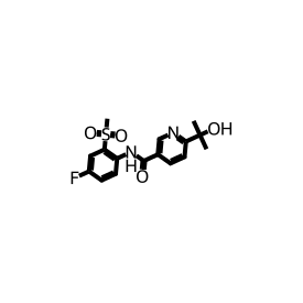 CC(C)(O)c1ccc(C(=O)Nc2ccc(F)cc2S(C)(=O)=O)cn1